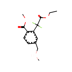 CBCc1ccc(C(=O)OC)c(C(F)(F)C(=O)OCC)c1